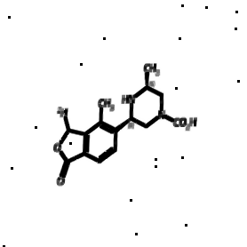 [2H]C1OC(=O)c2ccc([C@@H]3CN(C(=O)O)C[C@H](C)N3)c(C)c21